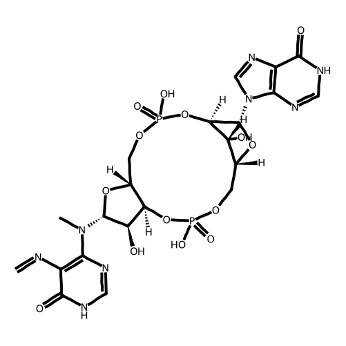 C=Nc1c(N(C)[C@@H]2O[C@@H]3COP(=O)(O)O[C@@H]4[C@H](O)[C@@H](COP(=O)(O)O[C@H]3[C@H]2O)O[C@H]4n2cnc3c(=O)[nH]cnc32)nc[nH]c1=O